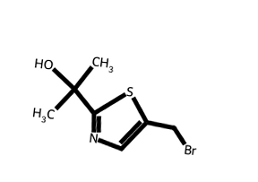 CC(C)(O)c1ncc(CBr)s1